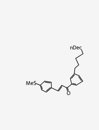 CCCCCCCCCCCCCCc1cccc(C(=O)/C=C/c2ccc(SC)cc2)c1